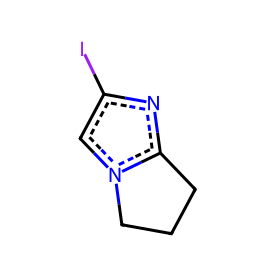 Ic1cn2c(n1)CCC2